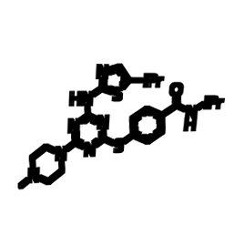 CC(C)NC(=O)c1ccc(Sc2nc(Nc3ncc(C(C)C)s3)nc(N3CCN(C)CC3)n2)cc1